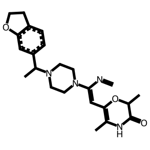 C=N/C(=C\C1=C(C)NC(=O)C(C)O1)N1CCN(C(C)c2ccc3c(c2)OCC3)CC1